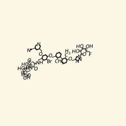 Cc1c(COc2cc(OCc3cncc(C#N)c3)c(CN[C@H](CS(=O)(=O)O)C(=O)NCC(S(=O)(=O)O)S(=O)(=O)O)cc2Br)cccc1-c1cccc(OCc2cn([C@@H]3O[C@H](CF)[C@@H](O)[C@H](O)[C@H]3O)nn2)c1C